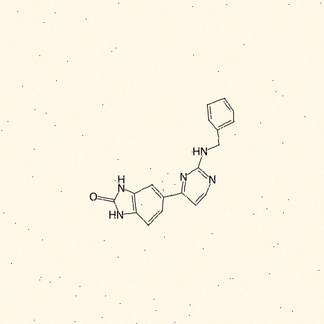 O=c1[nH]c2ccc(-c3ccnc(NCc4ccccc4)n3)cc2[nH]1